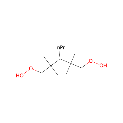 [CH2]CCC(C(C)(C)COO)C(C)(C)COO